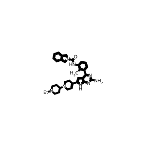 CCN1CCC(N2CC=C(c3cc4c(-c5cccc(NC(=O)n6cc7ccccc7c6)c5C)nc(N)nc4[nH]3)CC2)CC1